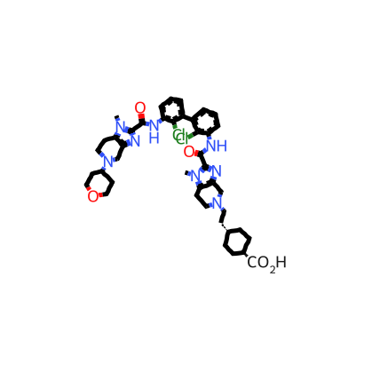 Cn1c(C(=O)Nc2cccc(-c3cccc(NC(=O)c4nc5c(n4C)CCN(C4CCOCC4)C5)c3Cl)c2Cl)nc2c1CCN(CC[C@H]1CC[C@H](C(=O)O)CC1)C2